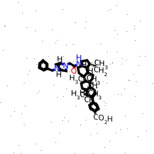 C=C(C)[C@@H]1CC[C@]2(NC(=O)CN3C[C@@H]4C[C@H]3CN4Cc3ccccc3)CC[C@]3(C)[C@H](CC[C@@H]4[C@@]5(C)CC=C(c6ccc(C(=O)O)cc6)C(C)(C)[C@@H]5CC[C@]43C)[C@@H]12